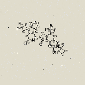 Cn1cnnc1C1(c2cc(Cl)nc(N3Cc4c(cc(CN(C(=O)O)C5(C)CCC5)cc4C(F)(F)F)C3=O)c2)CC(F)(F)C1